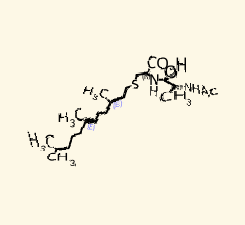 CC(=O)N[C@H](C)C(=O)N[C@@H](CSC/C=C(\C)CC/C=C(\C)CCC=C(C)C)C(=O)O